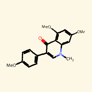 COc1ccc(-c2cn(C)c3cc(OC)cc(OC)c3c2=O)cc1